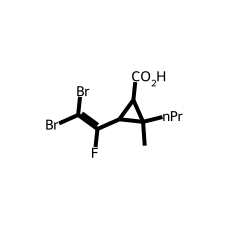 CCCC1(C)C(C(=O)O)C1C(F)=C(Br)Br